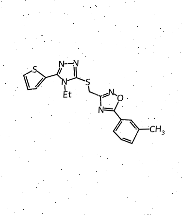 CCn1c(SCc2noc(-c3cccc(C)c3)n2)nnc1-c1cccs1